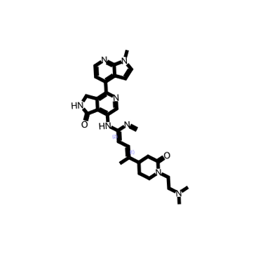 C=N/C(=C\C=C(/C)C1CCN(CCN(C)C)C(=O)C1)Nc1cnc(-c2ccnc3c2ccn3C)c2c1C(=O)NC2